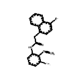 C=Nc1c(C)cccc1NC(=O)Cc1ccc(Br)c2ccccc12